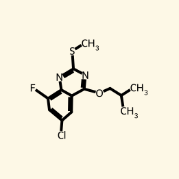 CSc1nc(OCC(C)C)c2cc(Cl)cc(F)c2n1